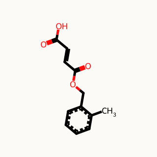 Cc1ccccc1COC(=O)/C=C/C(=O)O